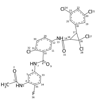 CC(=O)Nc1cc(NC(=O)c2cc(NC(=O)C3C(c4cc(Cl)cc(Cl)c4)C3(Cl)Cl)ccc2Cl)ccc1F